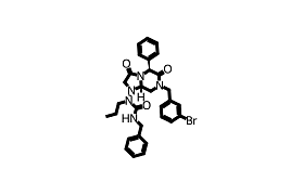 CCCN(C(=O)NCc1ccccc1)N1CC(=O)N2[C@@H](c3ccccc3)C(=O)N(Cc3cccc(Br)c3)C[C@@H]21